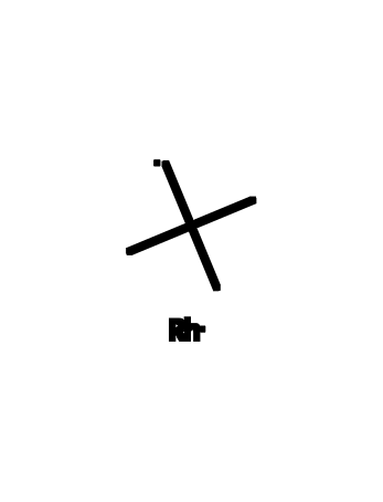 [CH2]C(C)(C)C.[Rh]